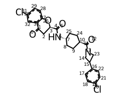 O=C1C[C@H](C(=O)N[C@H]2CC[C@H](C(=O)N3CC(c4ccc(Cl)cc4)C3)CC2)Oc2ccc(Cl)cc21